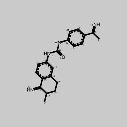 CC(=N)c1ccc(NC(=O)Nc2ccc3c(c2)CCC(C)C3=N)cc1